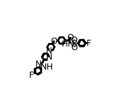 O=C(NS(=O)(=O)c1ccc(F)cc1)C1CCC(OC2CCN(c3ccc(-c4nc5cc(F)ccc5[nH]4)cn3)CC2)CC1